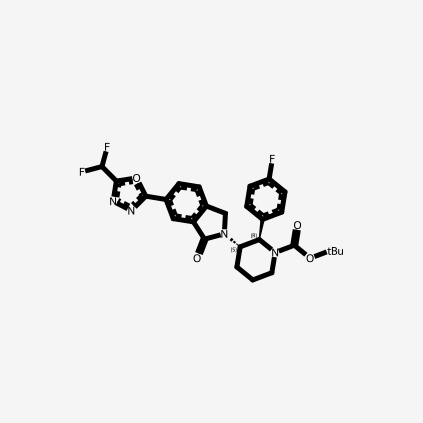 CC(C)(C)OC(=O)N1CCC[C@H](N2Cc3ccc(-c4nnc(C(F)F)o4)cc3C2=O)[C@H]1c1ccc(F)cc1